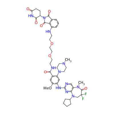 COc1cc(C(=O)NCCOCCOCCNc2cccc3c2C(=O)N(C2CCC(=O)NC2=O)C3=O)c(N2CCN(C)CC2)cc1Nc1ncc2c(n1)N(C1CCCC1)CC(F)(F)C(=O)N2C